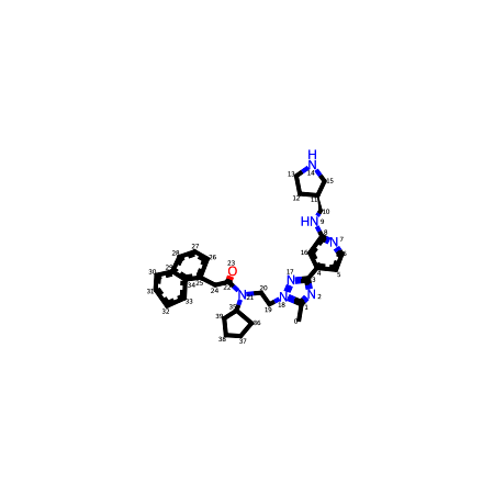 Cc1nc(-c2ccnc(NC[C@H]3CCNC3)c2)nn1CCN(C(=O)Cc1cccc2ccccc12)C1CCCC1